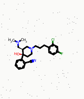 CN(C)C[C@H]1CN(CCCc2ccc(F)cc2Cl)CC[C@]1(O)c1ccccc1C#N